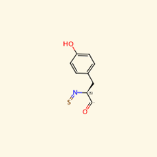 O=[C][C@H](Cc1ccc(O)cc1)N=S